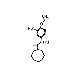 CCOc1ccc(CNC2CCCCCCC2)cc1C.Cl